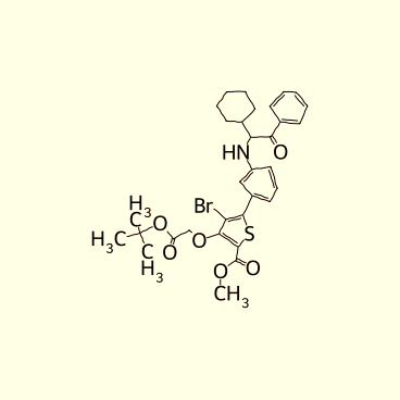 COC(=O)c1sc(-c2cccc(NC(C(=O)c3ccccc3)C3CCCCC3)c2)c(Br)c1OCC(=O)OC(C)(C)C